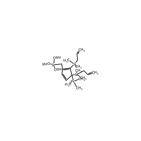 C=CC[Si](C)(C)C1=C(C[Si](OC)(OC)OC)C=C[C]1([Si](C)(C)CC=C)[Pt]([CH3])([CH3])[CH3]